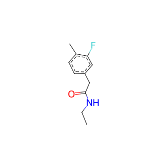 CCNC(=O)Cc1ccc(C)c(F)c1